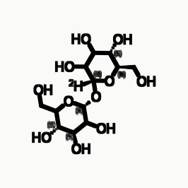 [2H][C@]1(O[C@H]2OC(CO)[C@@H](O)[C@H](O)C2O)O[C@H](CO)[C@@H](O)C(O)C1O